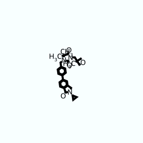 CC1(CN2C(=O)N(Cc3ccc(-c4ccc5c(c4)CN(C4CC4)C5=O)cc3)C(C)(C)C2=O)COC1